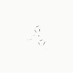 CCN(CC)C(=O)CN(c1ccc(C)cc1)S(=O)(=O)c1cnc(Br)c(Cl)c1